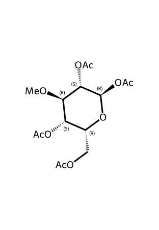 CO[C@H]1[C@H](OC(C)=O)[C@@H](OC(C)=O)O[C@H](COC(C)=O)[C@@H]1OC(C)=O